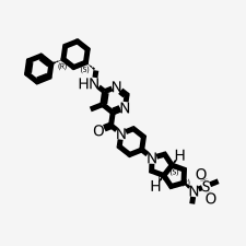 Cc1c(NC[C@H]2CCC[C@@H](c3ccccc3)C2)ncnc1C(=O)N1CCC(N2C[C@H]3C[C@@H](N(C)S(C)(=O)=O)C[C@H]3C2)CC1